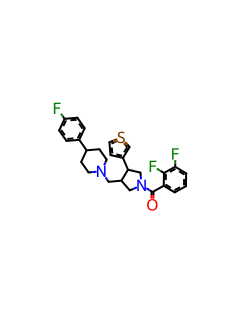 O=C(c1cccc(F)c1F)N1CC(CN2CCC(c3ccc(F)cc3)CC2)C(c2ccsc2)C1